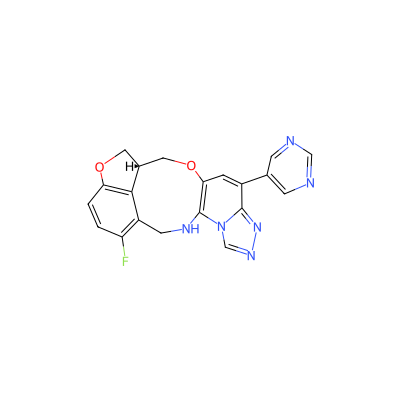 Fc1ccc2c3c1CNc1c(cc(-c4cncnc4)c4nncn14)OC[C@H]3CO2